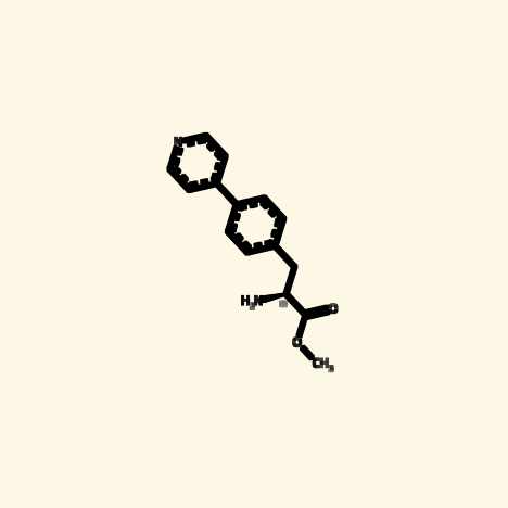 COC(=O)[C@@H](N)Cc1ccc(-c2ccncc2)cc1